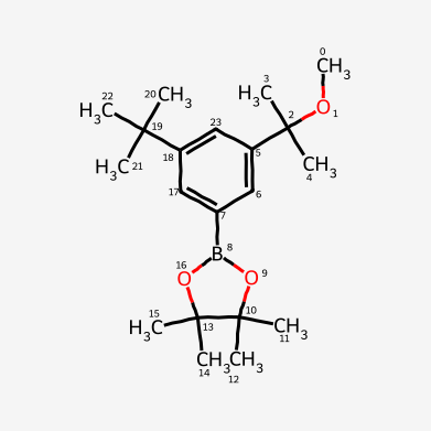 COC(C)(C)c1cc(B2OC(C)(C)C(C)(C)O2)cc(C(C)(C)C)c1